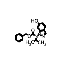 CC(C)N(C(=O)OCc1ccccc1)n1ncc2ccc(O)cc21